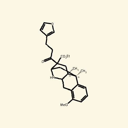 CCOC(=O)C1(C(=O)CCc2ccoc2)C[C@]2(C)C3Cc4c(OC)cccc4[C@]2(C)CC1N3